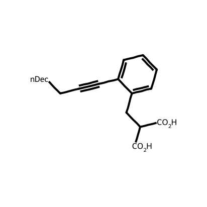 CCCCCCCCCCCC#Cc1ccccc1CC(C(=O)O)C(=O)O